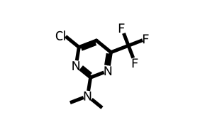 CN(C)c1nc(Cl)cc(C(F)(F)F)n1